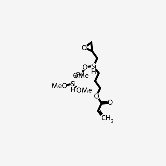 C=CC(=O)OCCC[SiH](CC1CO1)OCC.CO[SiH](OC)OC